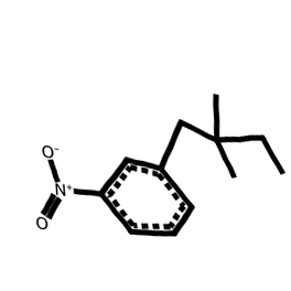 CCC(C)(C)Cc1cccc([N+](=O)[O-])c1